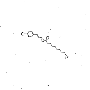 O=C(CCCCCCCCC1CC1)OCC=Cc1ccc(Cl)cc1